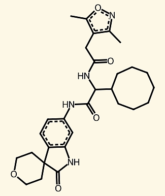 Cc1noc(C)c1CC(=O)NC(C(=O)Nc1ccc2c(c1)NC(=O)C21CCOCC1)C1CCCCCCC1